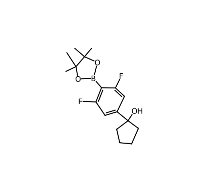 CC1(C)OB(c2c(F)cc(C3(O)CCCC3)cc2F)OC1(C)C